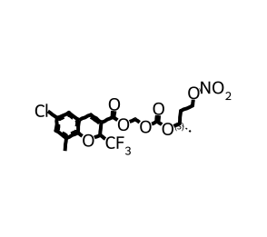 Cc1cc(Cl)cc2c1OC(C(F)(F)F)C(C(=O)OCOC(=O)O[C@@H](C)CCO[N+](=O)[O-])=C2